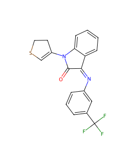 O=C1/C(=N\c2cccc(C(F)(F)F)c2)c2ccccc2N1C1=CSCC1